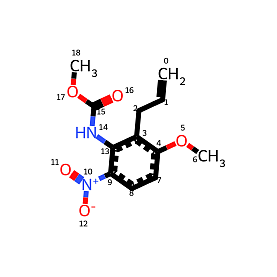 C=CCc1c(OC)ccc([N+](=O)[O-])c1NC(=O)OC